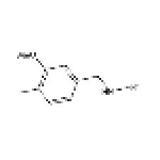 COc1cc(CNC(C)C)ccc1C